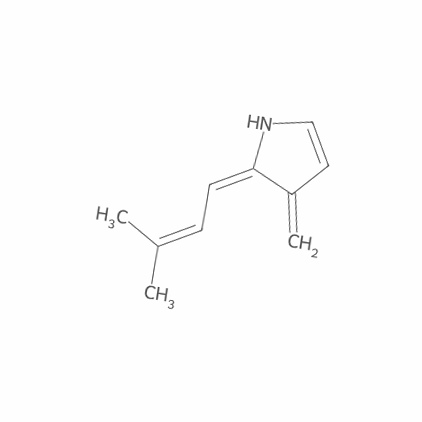 C=c1cc[nH]/c1=C/C=C(C)C